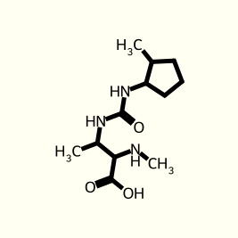 CNC(C(=O)O)C(C)NC(=O)NC1CCCC1C